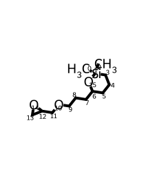 C[Si]1(C)CCCC(CCCOCC2CO2)O1